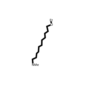 [CH2]COCCCCCCCCCCCNC